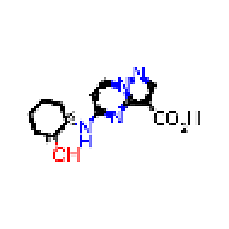 O=C(O)c1cnn2ccc(N[C@H]3CCCC[C@H]3O)nc12